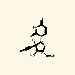 CC#C[C@@]1(F)[C@H](O)[C@@H](CO)O[C@H]1n1ccc(=O)[nH]c1=O